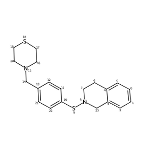 c1ccc2c(c1)CCN(Sc1ccc(CN3CCSCC3)cc1)C2